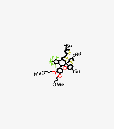 COCCCOc1cc2oc3c(c2cc1OCCCOC)C1=C(c2cc(-c4cc(C(C)(C)C)cs4)sc2C3(c2ccc(C(C)(C)C)cc2)c2cc(C(C)(C)C)cs2)C(F)(F)C(F)(F)C1(F)F